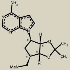 CNC[C@H]1C[C@@H](n2ccc3c(N)ncnc32)[C@@H]2OC(C)(C)O[C@H]12